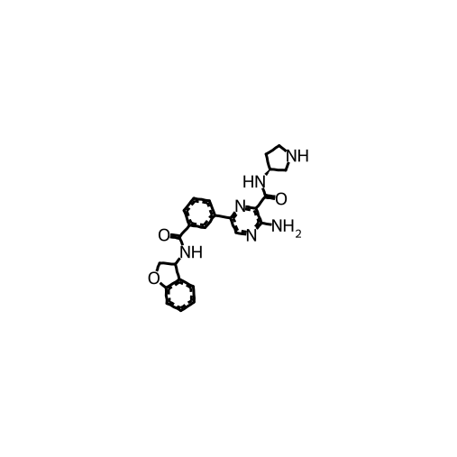 Nc1ncc(-c2cccc(C(=O)NC3COc4ccccc43)c2)nc1C(=O)N[C@H]1CCNC1